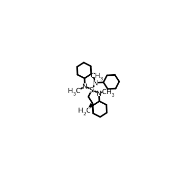 C=CC[Si](N(C)C1CCCCC1)(N(C)C1CCCCC1)N(C)C1CCCCC1